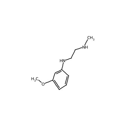 CNCCNc1cccc(OC)c1